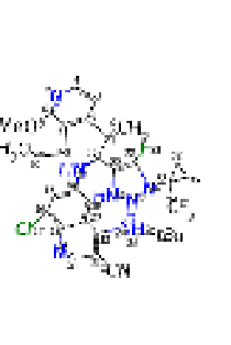 C=C(c1ccnc(OC)c1/C=C\C)[C@H](Nc1cc(Cl)c2ncc(C#N)c(NCC(C)(C)C)c2c1)C1=C(F)N(C2(C(F)(F)F)CC2)NN1